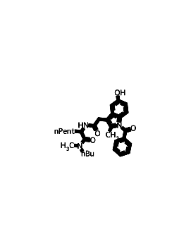 CCCCCC(NC(=O)Cc1c(C)n(C(=O)c2ccccc2)c2ccc(O)cc12)C(=O)N(C)CCCC